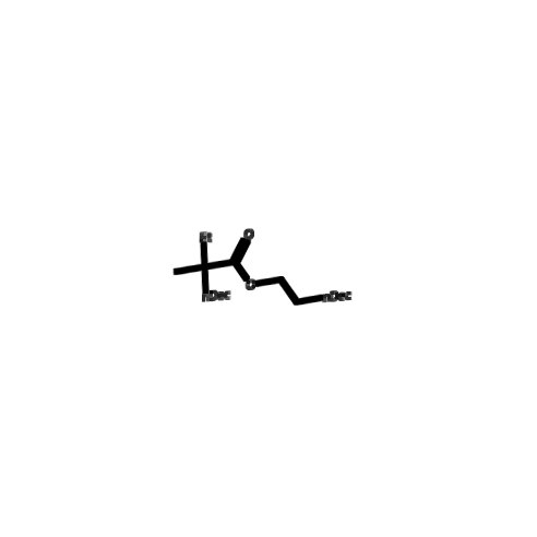 CCCCCCCCCCCCOC(=O)C(C)(CC)CCCCCCCCCC